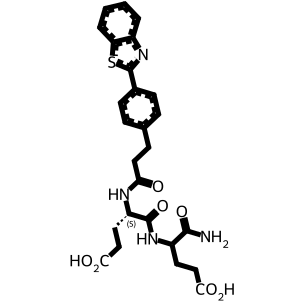 NC(=O)C(CCC(=O)O)NC(=O)[C@H](CCC(=O)O)NC(=O)CCc1ccc(-c2nc3ccccc3s2)cc1